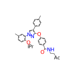 CC(=O)CCNC(=O)c1ccc(Oc2nn(-c3cc(C)ccc3OC(C)C)cc2-c2ccc(C)cc2)cc1